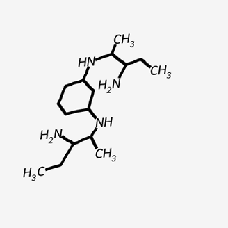 CCC(N)C(C)NC1CCCC(NC(C)C(N)CC)C1